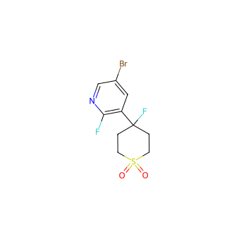 O=S1(=O)CCC(F)(c2cc(Br)cnc2F)CC1